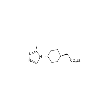 CCOC(=O)C[C@H]1CC[C@H](n2cnnc2C)CC1